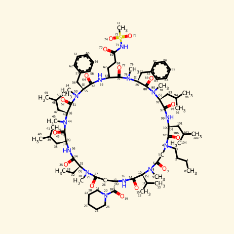 CCCCN1CC(=O)N(C)[C@@H](C(C)C)C(=O)N[C@H](C(=O)N2CCCCC2)CC(=O)N(C)[C@@H](CC)C(=O)N[C@@H](CC(C)C)C(=O)N(C)[C@@H](CC(C)C)C(=O)N(C)[C@@H](Cc2ccccc2)C(=O)NC(CCC(=O)NS(C)(=O)=O)C(=O)N(C)[C@@H](Cc2ccccc2)C(=O)N(C)[C@@H](CC(C)C)C(=O)N[C@@H](CC(C)C)C1=O